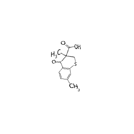 Cc1ccc2c(c1)SCC(C)(C(=O)O)C2=O